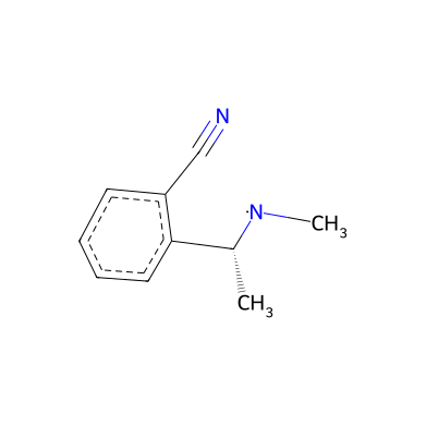 C[N][C@H](C)c1ccccc1C#N